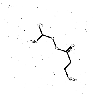 CCCCCCCCCCCC(=O)OOC(CCC)CCCC